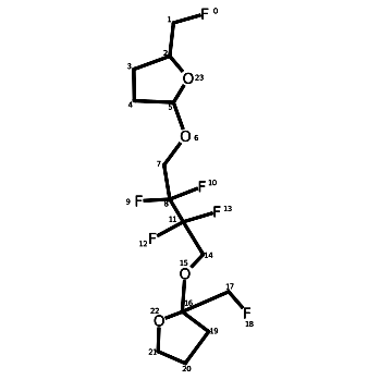 FCC1CCC(OCC(F)(F)C(F)(F)COC2(CF)CCCO2)O1